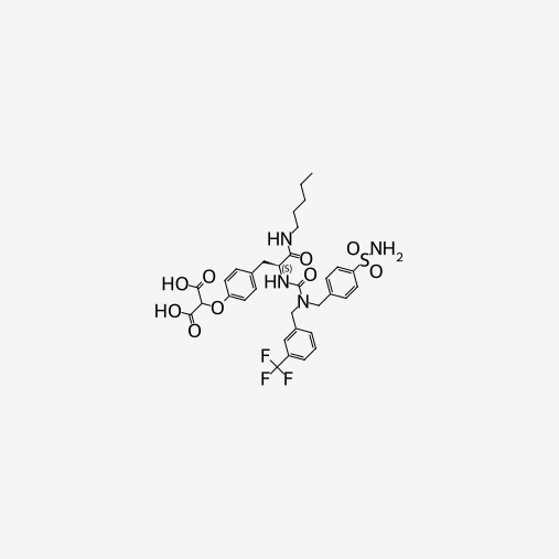 CCCCCNC(=O)[C@H](Cc1ccc(OC(C(=O)O)C(=O)O)cc1)NC(=O)N(Cc1ccc(S(N)(=O)=O)cc1)Cc1cccc(C(F)(F)F)c1